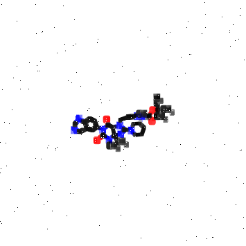 CC#CCN1C(N2CCC[C@@H](NC(=O)OC(C)(C)C)C2)=NC2(C)C1C(=O)N(c1ccc3ncncc3c1)C(=O)N2C